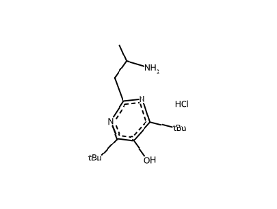 CC(N)Cc1nc(C(C)(C)C)c(O)c(C(C)(C)C)n1.Cl